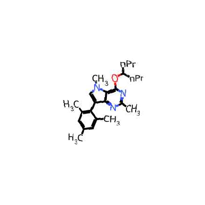 CCCC(CCC)Oc1nc(C)nc2c(-c3c(C)cc(C)cc3C)cn(C)c12